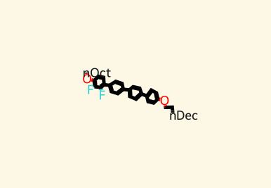 CCCCCCCCCCCCOc1ccc(-c2ccc(-c3ccc(-c4ccc(OCCCCCCCC)c(F)c4F)cc3)cc2)cc1